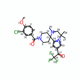 COc1ccc(C(=O)N2CCC3(CC2)c2cc(C(=O)C(F)(F)F)cn2C(C)(C)CN3C)cc1Cl